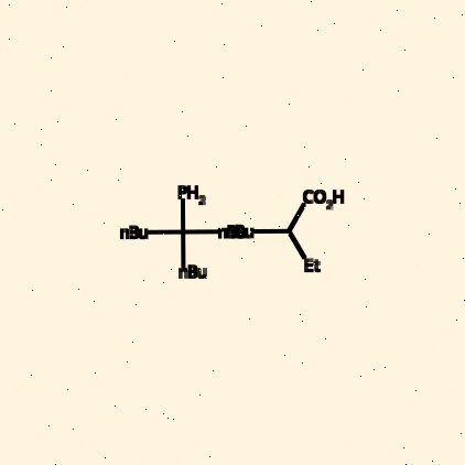 CCCCC(CC)C(=O)O.CCCCC(P)(CCCC)CCCC